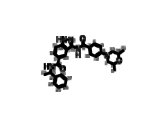 CC1CN(c2ccc(C(=O)Nc3n[nH]c4ccc(C(=O)NC(C)c5ccccc5)cc34)cc2)CC(C)O1